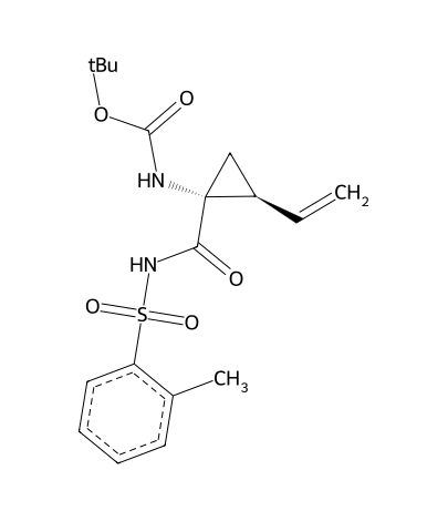 C=C[C@@H]1C[C@]1(NC(=O)OC(C)(C)C)C(=O)NS(=O)(=O)c1ccccc1C